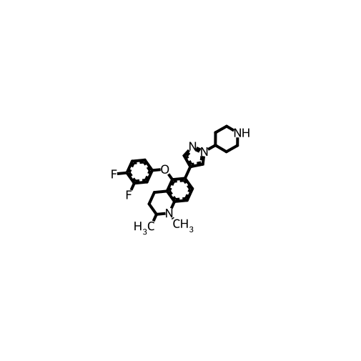 CC1CCc2c(ccc(-c3cnn(C4CCNCC4)c3)c2Oc2ccc(F)c(F)c2)N1C